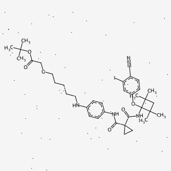 CC(C)(C)OC(=O)COCCCCCNc1ccc(NC(=O)C2(C(=O)NC3(Oc4ccc(C#N)c(I)c4)C(C)(C)CC3(C)C)CC2)cc1